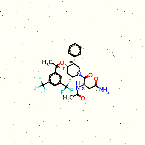 CC(=O)N[C@H](CC(N)=O)C(=O)N1CC[C@H](O[C@H](C)c2cc(C(F)(F)F)cc(C(F)(F)F)c2)[C@H](c2ccccc2)C1